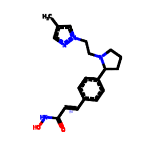 Cc1cnn(CCN2CCCC2c2ccc(/C=C/C(=O)NO)cc2)c1